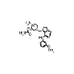 COc1cccc(NC2=NC=NN3CCC(CN4CC[C@@H](N)[C@@H](OC(N)=O)C4)=C23)c1